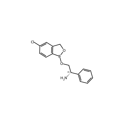 N[C@H](COB1OCc2cc(Cl)ccc21)c1ccccc1